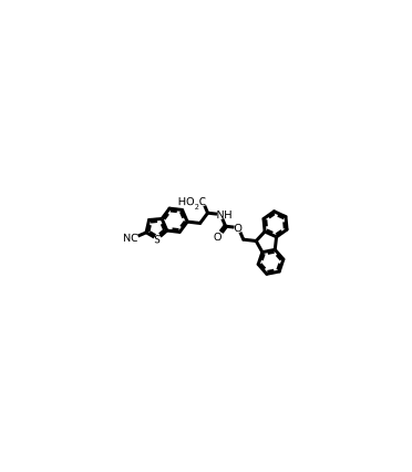 N#Cc1cc2ccc(CC(NC(=O)OCC3c4ccccc4-c4ccccc43)C(=O)O)cc2s1